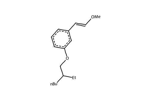 CCCCC(CC)COc1[c]ccc(C=[C]OC)c1